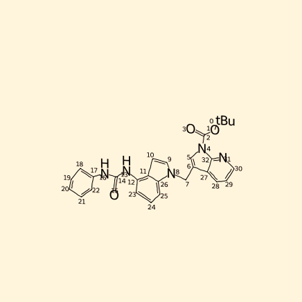 CC(C)(C)OC(=O)n1cc(Cn2ccc3c(NC(=O)Nc4ccccc4)cccc32)c2cccnc21